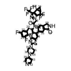 O=C(Cn1nc(C(F)(F)F)c2c1C(F)(F)C1C[C@H]21)N[C@H](Cc1cc(F)cc(F)c1)c1nc2nc(N3CCN(c4ccncc4)CC3)sc2cc1-c1ccc2c(c1)C(=O)NC2